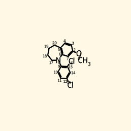 COc1ccc2c(c1)N(c1ccc(Cl)cc1Cl)CCCC2